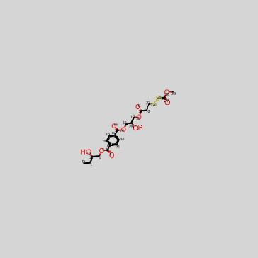 CCC(O)COC(=O)c1ccc(C(=O)OCC(O)COC(=O)CCSSC(=O)OC)cc1